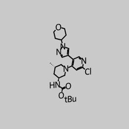 C[C@H]1C[C@H](NC(=O)OC(C)(C)C)CN(c2cc(Cl)ncc2-c2cnn(C3CCOCC3)c2)C1